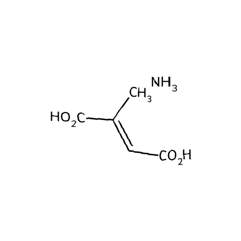 CC(=CC(=O)O)C(=O)O.N